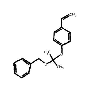 C=Cc1ccc(OC(C)(C)OCc2ccccc2)cc1